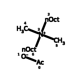 CC(=O)[O-].CCCCCCCC[N+](C)(C)CCCCCCCC